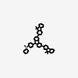 CN(c1ccccc1)c1ccc(C2c3ccc(-c4ccc5c(c4)C(C)(C)c4ccccc4-5)cc3-c3cc(-c4ccc5c(c4)C(C)(C)c4ccccc4-5)ccc32)cc1